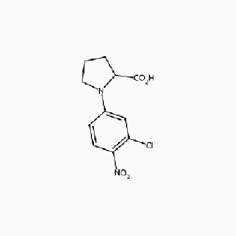 O=C(O)C1CCCN1c1ccc([N+](=O)[O-])c(Cl)c1